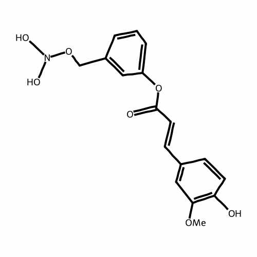 COc1cc(/C=C/C(=O)Oc2cccc(CON(O)O)c2)ccc1O